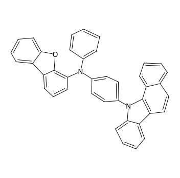 c1ccc(N(c2ccc(-n3c4ccccc4c4ccc5ccccc5c43)cc2)c2cccc3c2oc2ccccc23)cc1